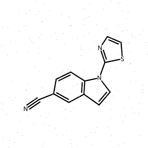 N#Cc1ccc2c(ccn2-c2nccs2)c1